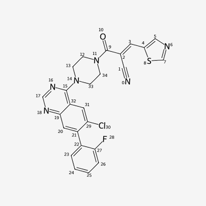 N#CC(=Cc1cncs1)C(=O)N1CCN(c2ncnc3cc(-c4ccccc4F)c(Cl)cc23)CC1